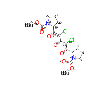 CC(C)(C)OC(=O)N1CCC[C@H]1C(=O)C(Cl)C(=O)C(Cl)C(=O)[C@@H]1CCCN1C(=O)OC(C)(C)C